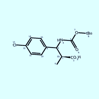 C[C@H](C(=O)O)C(NC(=O)OC(C)(C)C)c1ccc(Cl)cc1